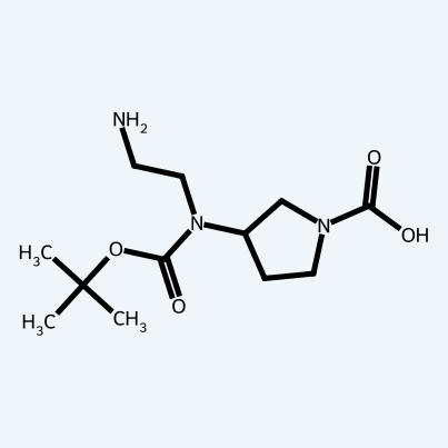 CC(C)(C)OC(=O)N(CCN)C1CCN(C(=O)O)C1